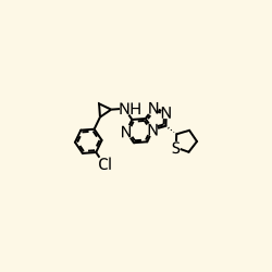 Clc1cccc(C2CC2Nc2nccn3c([C@@H]4CCCS4)nnc23)c1